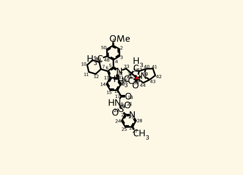 COc1ccc(-c2c(C3CCCCC3)c3ccc(C(=O)NS(=O)(=O)c4ccc(C)cn4)cc3n2CC(C)(C)C(=O)N2C3CCC2CN(C)C3)c(C)c1